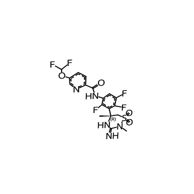 CN1C(=N)N[C@](C)(c2c(F)c(F)cc(NC(=O)c3ccc(OC(F)F)cn3)c2F)CS1(=O)=O